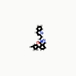 Cc1ccc(-c2cccc3cnn(CCc4ccc5ccccc5n4)c(=O)c23)cc1